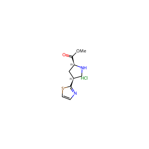 COC(=O)[C@@H]1C[C@H](c2nccs2)CN1.Cl